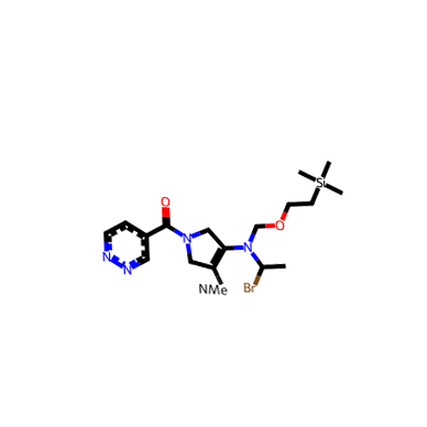 CNC1=C(N(COCC[Si](C)(C)C)C(C)Br)CN(C(=O)c2ccnnc2)C1